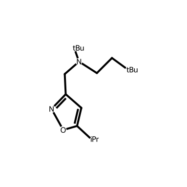 CC(C)c1cc(CN(CCC(C)(C)C)C(C)(C)C)no1